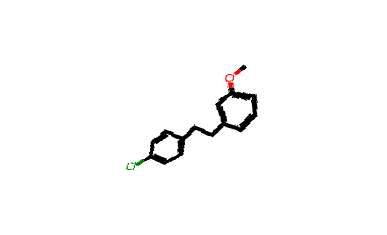 COc1cccc(C[CH]c2ccc(Cl)cc2)c1